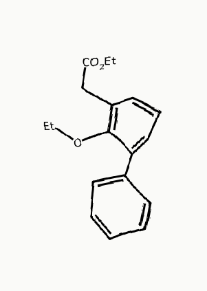 CCOC(=O)Cc1cccc(-c2ccccc2)c1OCC